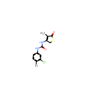 CCc1ccc(NC(=O)NC2=C(C)C(=O)SC2)cc1Cl